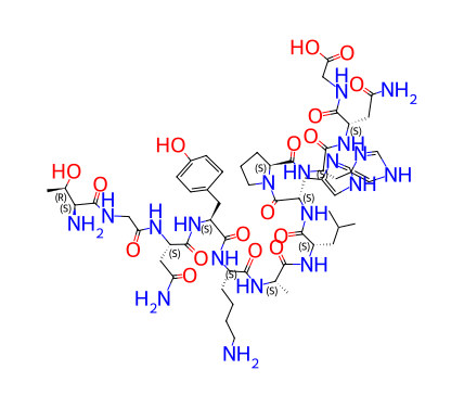 CC(C)C[C@H](NC(=O)[C@H](C)NC(=O)[C@H](CCCCN)NC(=O)[C@H](Cc1ccc(O)cc1)NC(=O)[C@H](CC(N)=O)NC(=O)CNC(=O)[C@@H](N)[C@@H](C)O)C(=O)N[C@@H](Cc1c[nH]cn1)C(=O)N1CCC[C@H]1C(=O)N[C@@H](Cc1c[nH]cn1)C(=O)N[C@@H](CC(N)=O)C(=O)NCC(=O)O